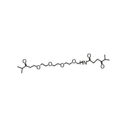 CC(C)C(=O)CCOCCOCCOCCOCCNC(=O)CCC(=O)C(C)C